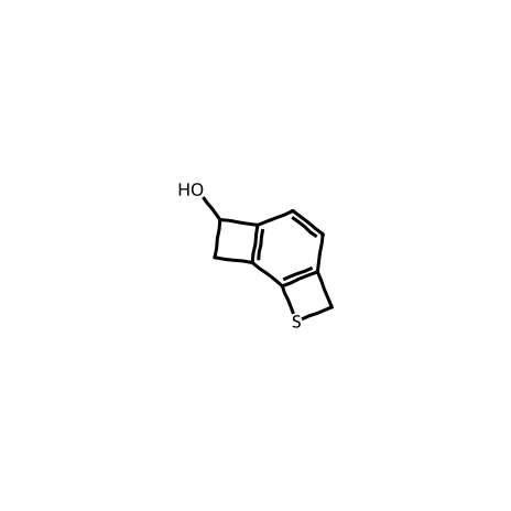 OC1Cc2c1ccc1c2SC1